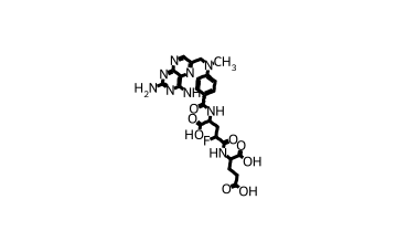 CN(Cc1cnc2nc(N)nc(N)c2n1)c1ccc(C(=O)NC(CC(F)C(=O)NC(CCC(=O)O)C(=O)O)C(=O)O)cc1